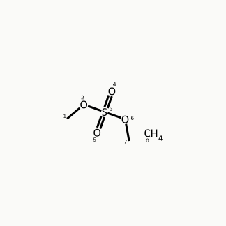 C.COS(=O)(=O)OC